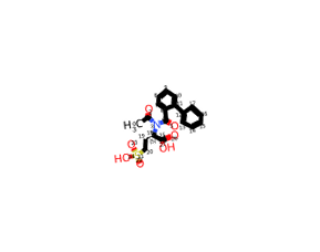 CC(=O)N(C(=O)c1ccccc1-c1ccccc1)[C@@H](CCS(=O)(=O)O)C(=O)O